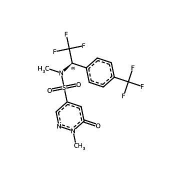 CN([C@H](c1ccc(C(F)(F)F)cc1)C(F)(F)F)S(=O)(=O)c1cnn(C)c(=O)c1